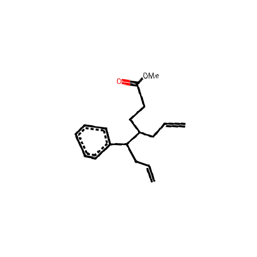 C=CC[C](c1ccccc1)C(CC=C)CCC(=O)OC